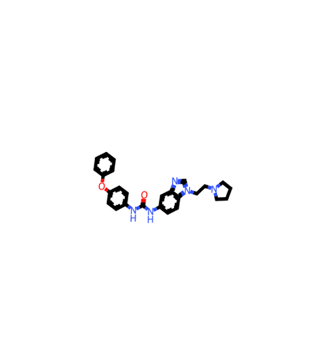 O=C(Nc1ccc(Oc2ccccc2)cc1)Nc1ccc2c(c1)ncn2CCN1CCCC1